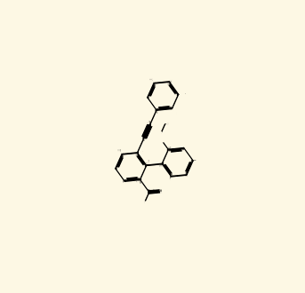 COc1ccccc1-c1c(C#Cc2ccccc2)cccc1C(=O)O